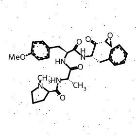 COc1ccc(C[C@H](NC(=O)[C@H](C)NC(=O)[C@H]2CCCN2C)C(=O)N[C@@H](Cc2ccccc2)C(=O)[C@H]2CO2)cc1